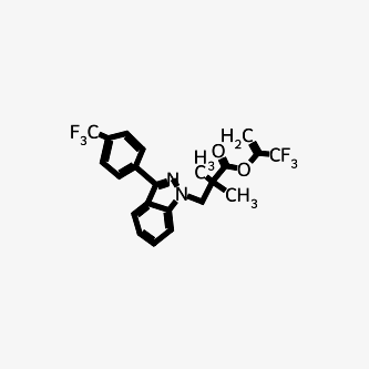 C=C(OC(=O)C(C)(C)Cn1nc(-c2ccc(C(F)(F)F)cc2)c2ccccc21)C(F)(F)F